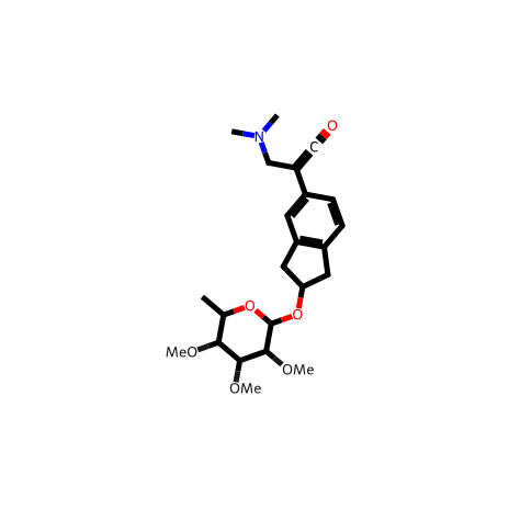 COC1C(C)OC(OC2Cc3ccc(C(=C=O)CN(C)C)cc3C2)C(OC)C1OC